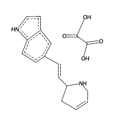 C1=CCC(C=Cc2ccc3[nH]ccc3c2)NC1.O=C(O)C(=O)O